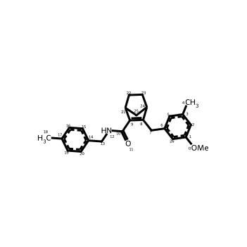 COc1cc(C)cc(CC2=C(C(=O)NCc3ccc(C)cc3)C3CCC2C3)c1